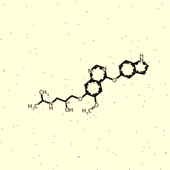 COc1cc2c(Oc3ccc4[nH]ccc4c3)ncnc2cc1OC[C@@H](O)CNC(C)C